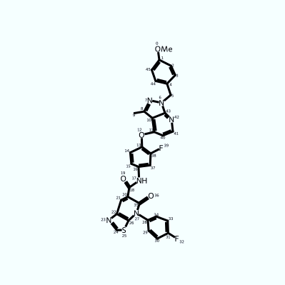 COc1ccc(Cn2nc(C)c3c(Oc4ccc(NC(=O)c5cc6ncsc6n(-c6ccc(F)cc6)c5=O)cc4F)ccnc32)cc1